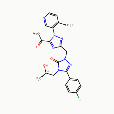 CCOC(=O)c1ccncc1-n1nc(Cn2nc(-c3ccc(Cl)cc3)n(C[C@H](O)C(F)(F)F)c2=O)nc1C(=O)OC